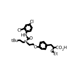 CCOC(Cc1ccc(OCCN(CCC(C)(C)C)C(=O)Nc2ccc(Cl)cc2Cl)cc1)C(=O)O